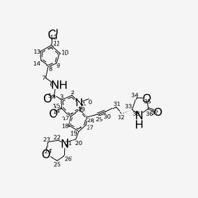 Cn1cc(C(=O)NCc2ccc(Cl)cc2)c(=O)c2cc(CN3CCOCC3)cc(C#CCC[C@@H]3COC(=O)N3)c21